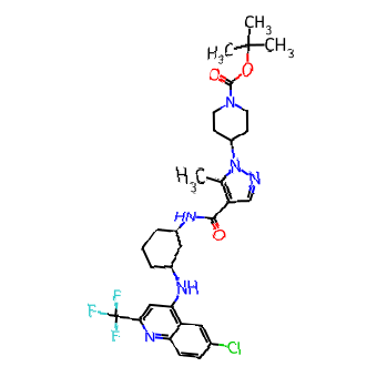 Cc1c(C(=O)N[C@@H]2CCC[C@H](Nc3cc(C(F)(F)F)nc4ccc(Cl)cc34)C2)cnn1C1CCN(C(=O)OC(C)(C)C)CC1